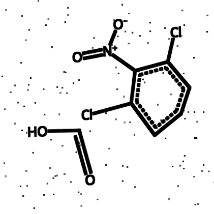 O=CO.O=[N+]([O-])c1c(Cl)cccc1Cl